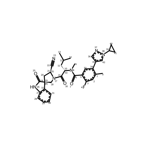 Cc1cc(F)c(C(=O)N(C)[C@@H](CC(C)C)C(=O)N2C[C@]3(C[C@H]2C#N)C(=O)Nc2ccccc23)cc1-c1cnn(C2CC2)c1